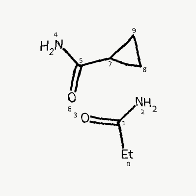 CCC(N)=O.NC(=O)C1CC1